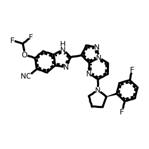 N#Cc1cc2nc(-c3cnn4ccc(N5CCC[C@@H]5c5cc(F)ccc5F)nc34)[nH]c2cc1OC(F)F